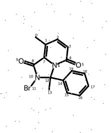 Cc1ccc(=O)n2c1C(=O)N(Br)C2(C)c1ccccc1